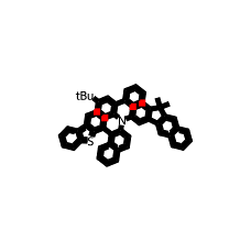 CC(C)(C)c1ccc(N(c2ccc3c(c2)-c2cc4ccccc4cc2C3(C)C)c2ccc3ccccc3c2-c2cccc3c2sc2ccccc23)c(-c2ccccc2)c1